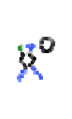 N#[N+]C1C=CC(Nc2ccccc2)=CC1=[N+]=[N-].[Cl-]